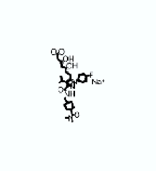 CC(C)c1c(C(=O)NCc2ccc(C(=O)N(C)C)cc2)nn(-c2ccc(F)cc2)c1CC[C@@H](O)C[C@@H](O)CC(=O)[O-].[Na+]